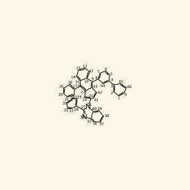 c1ccc(-c2cccc(-c3c4ccccc4c(-c4ccccc4)c4cc(-n5c(-c6ccccc6)nc6ccccc65)ccc34)c2)cc1